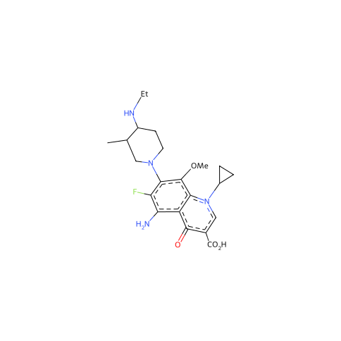 CCNC1CCN(c2c(F)c(N)c3c(=O)c(C(=O)O)cn(C4CC4)c3c2OC)CC1C